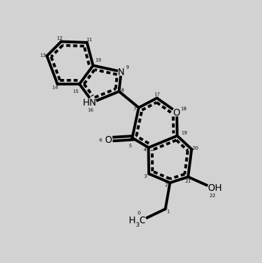 CCc1cc2c(=O)c(-c3nc4ccccc4[nH]3)coc2cc1O